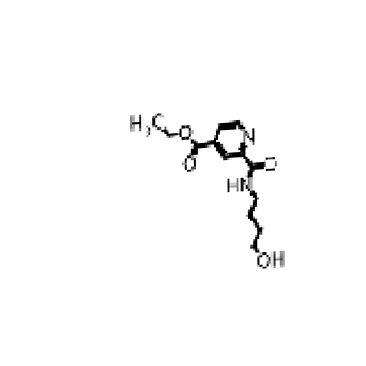 CCOC(=O)c1ccnc(C(=O)NCCCCO)c1